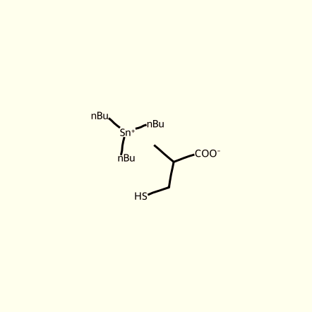 CC(CS)C(=O)[O-].CCC[CH2][Sn+]([CH2]CCC)[CH2]CCC